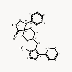 Cn1ncc(C2=CC=CCS2)c1CN1CCC2(CC1)C(=O)NCN2c1ccccc1